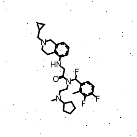 Cc1c(C(F)N(CCN(C)C2CCCC2)C(=O)CNc2cccc3c2CCN(CC2CC2)C3)ccc(F)c1F